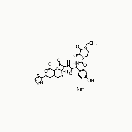 CCN1CCN(C(=O)NC(C(=O)NC2C(=O)N3C(C(=O)[O-])=C(CSc4nncs4)CS[C@@H]23)c2ccc(O)cc2)C(=O)C1=O.[Na+]